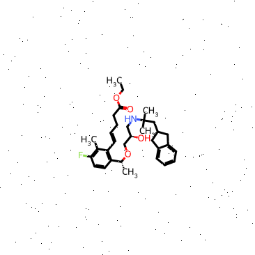 CCOC(=O)CC/C=C/c1c([C@@H](C)OC[C@H](O)CNC(C)(C)CC2Cc3ccccc3C2)ccc(F)c1C